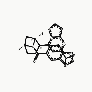 O=C(c1ccc2ncsc2c1)N1[C@H]2CC[C@H](c3cc(C(F)F)nc4ccnn34)[C@@H]1C2